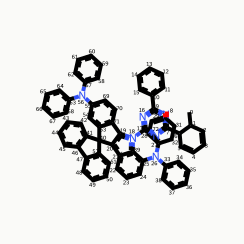 CC1C=CC=CC1c1nc(-c2ccccc2)nc(-n2c3c(c4cccc(N(C5=CC=CCC5)c5ccccc5)c42)C2(c4ccccc4-c4ccccc42)c2cc(N(c4ccccc4)c4ccccc4)ccc2-3)n1